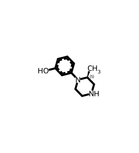 C[C@H]1CNCCN1c1cccc(O)c1